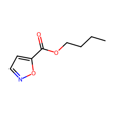 CCCCOC(=O)c1c[c]no1